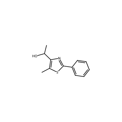 Cc1sc(-c2ccccc2)nc1C(C)O